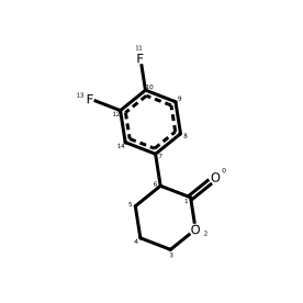 O=C1OCCCC1c1ccc(F)c(F)c1